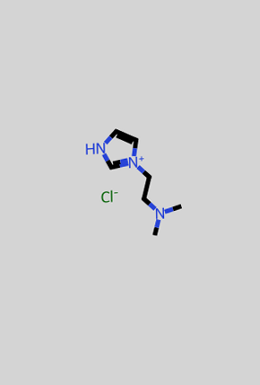 CN(C)CC[n+]1cc[nH]c1.[Cl-]